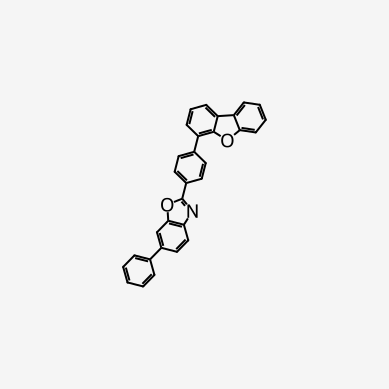 c1ccc(-c2ccc3nc(-c4ccc(-c5cccc6c5oc5ccccc56)cc4)oc3c2)cc1